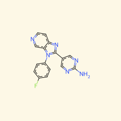 Nc1ncc(-c2nc3ccncc3n2-c2ccc(F)cc2)cn1